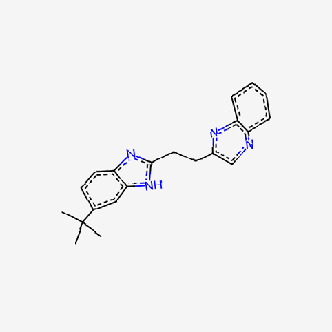 CC(C)(C)c1ccc2nc(CCc3cnc4ccccc4n3)[nH]c2c1